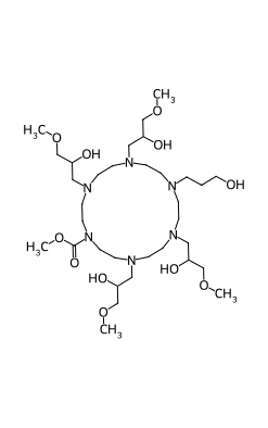 COCC(O)CN1CCN(CCCO)CCN(CC(O)COC)CCN(CC(O)COC)CCN(C(=O)OC)CCN(CC(O)COC)CC1